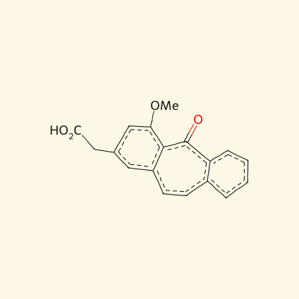 COc1cc(CC(=O)O)cc2ccc3ccccc3c(=O)c12